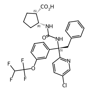 O=C(N[C@@H]1CCC[C@@H]1C(=O)O)N[C@@](Cc1ccccc1)(c1cccc(OC(F)(F)C(F)F)c1)c1ccc(Cl)cn1